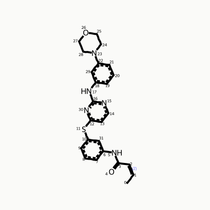 C/C=C\C(=O)Nc1cccc(Sc2ccnc(Nc3cccc(N4CCOCC4)c3)n2)c1